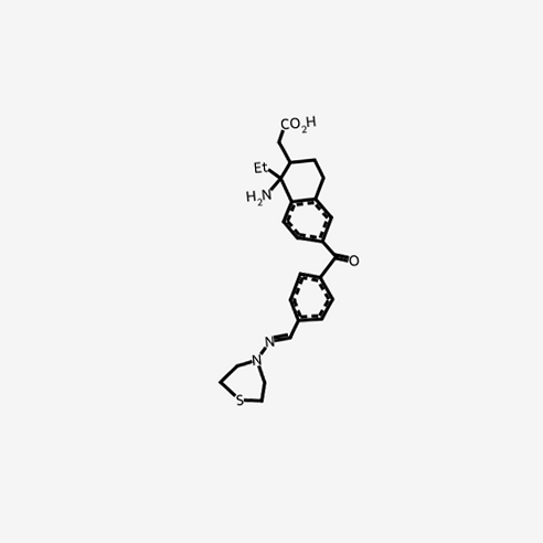 CCC1(N)c2ccc(C(=O)c3ccc(C=NN4CCSCC4)cc3)cc2CCC1CC(=O)O